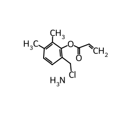 C=CC(=O)Oc1c(CCl)ccc(C)c1C.N